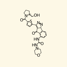 O=C(Nc1cccc2c1C(=O)C1=C(c3ccc(C(=O)N4CCC[C@H]4CO)s3)N=NC12)NN1CCOCC1